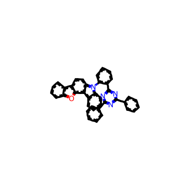 c1ccc(-c2nc(-c3ccccc3)nc(-c3ccccc3-n3c4ccccc4c4c5oc6ccccc6c5ccc43)n2)cc1